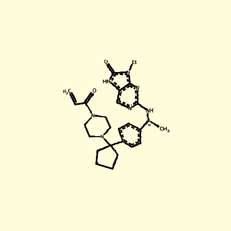 C=CC(=O)N1CCN(C2(c3ccc([C@H](C)Nc4ncc5[nH]c(=O)n(CC)c5n4)cc3)CCCC2)CC1